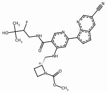 COC(=O)N1CC[C@@H]1CNc1cc(-c2ccc3cc(C#N)cnn23)ncc1C(=O)NCC(F)C(C)(C)O